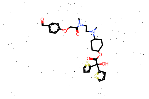 CN(CCN(C)C1CCC(OC(=O)C(O)(c2cccs2)c2cccs2)CC1)C(=O)COc1ccc(C=O)cc1